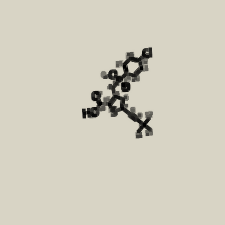 COP(=O)(Cc1cc(C#CC(C)(C)C)sc1C(=O)O)c1ccc(Cl)cc1